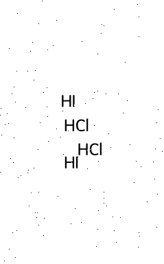 Cl.Cl.I.I